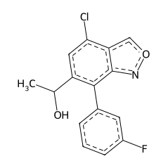 CC(O)c1cc(Cl)c2conc2c1-c1cccc(F)c1